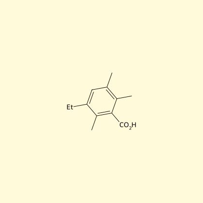 CCc1cc(C)c(C)c(C(=O)O)c1C